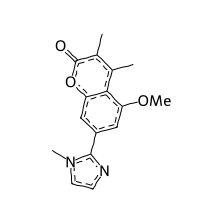 COc1cc(-c2nccn2C)cc2oc(=O)c(C)c(C)c12